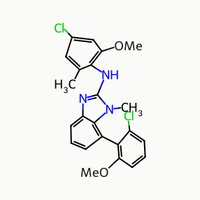 COc1cc(Cl)cc(C)c1Nc1nc2cccc(-c3c(Cl)cccc3OC)c2n1C